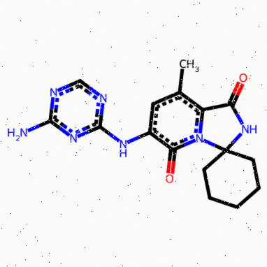 Cc1cc(Nc2ncnc(N)n2)c(=O)n2c1C(=O)NC21CCCCC1